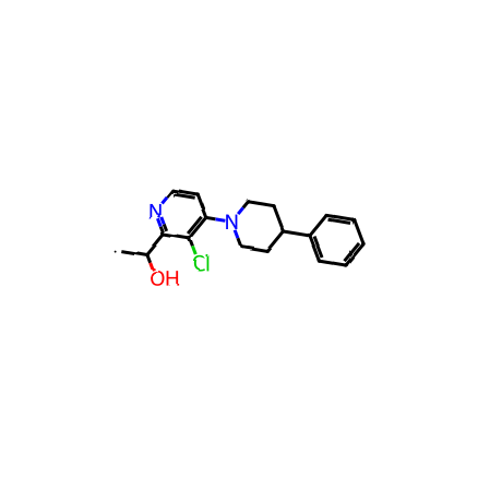 [CH2]C(O)c1nccc(N2CCC(c3ccccc3)CC2)c1Cl